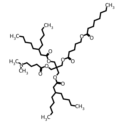 CCCCCCCC(=O)OCCCCC(=O)OCC(COC(=O)CCCN(C)C)(COC(=O)CC(CCCCC)CCCCC)COC(=O)CC(CCCCC)CCCCC